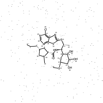 CCC[C@@H]1C[C@H](C(=O)N[C@H](C2OC(SC)[C@@H](O)C(O)C2O)[C@@H](C)Sc2nc3c(Cl)ncnc3s2)N(C)C1